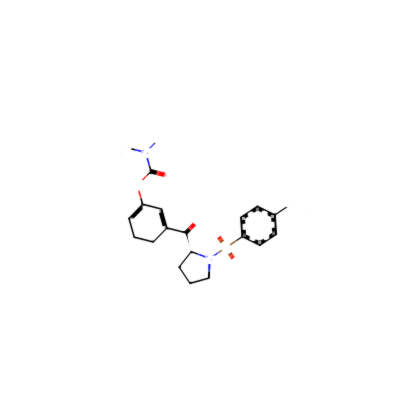 Cc1ccc(S(=O)(=O)N2CCC[C@H]2C(=O)C2=CC(OC(=O)N(C)C)=CC[CH]2)cc1